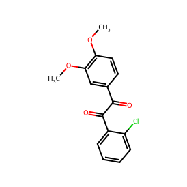 COc1ccc(C(=O)C(=O)c2ccccc2Cl)cc1OC